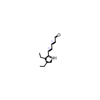 CCc1c[nH]c(/C=C/C=C/C=O)c1CC